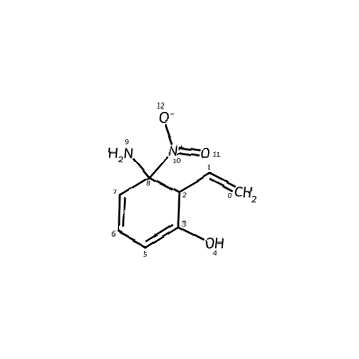 C=CC1C(O)=CC=CC1(N)[N+](=O)[O-]